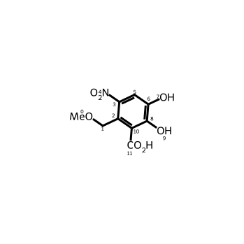 COCc1c([N+](=O)[O-])cc(O)c(O)c1C(=O)O